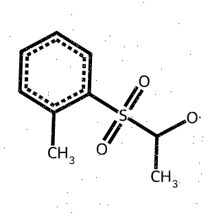 Cc1ccccc1S(=O)(=O)C(C)[O]